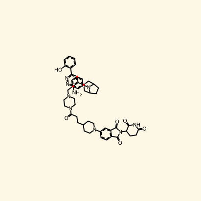 Nc1nnc(-c2ccccc2O)cc1N1CC2CCC(C1)N2c1cccc(CN2CCN(C(=O)CCC3CCN(c4ccc5c(c4)C(=O)N(C4CCC(=O)NC4=O)C5=O)CC3)CC2)c1